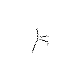 CCCCCCCCCC[P+](CCCCCC)(CCCCCC)CCCCCC.[I-]